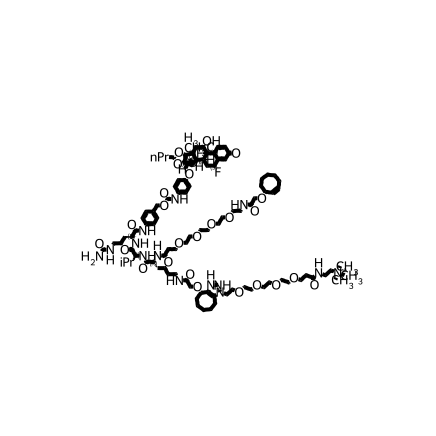 CCCC1O[C@@H]2C[C@H]3[C@@H]4C[C@H](F)C5=CC(=O)C=C[C@]5(C)[C@@]4(F)[C@@H](O)C[C@]3(C)[C@]2(C(=O)COc2ccc(NC(=O)OCc3ccc(NC(=O)[C@H](CCCNC(N)=O)NC(=O)[C@@H](NC(=O)[C@@H](CCCCNC(=O)COC4CCCCCC5=C4NNN5CCOCCOCCOCCOCCC(=O)NCC[N+](C)(C)C)NC(=O)CCOCCOCCOCCOCCNC(=O)COC4C#CCCCCC4)C(C)C)cc3)cc2)O1